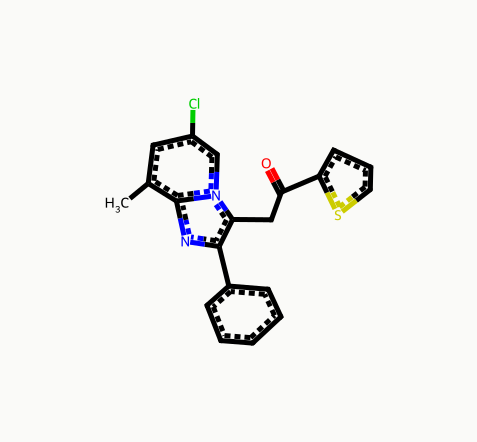 Cc1cc(Cl)cn2c(CC(=O)c3cccs3)c(-c3ccccc3)nc12